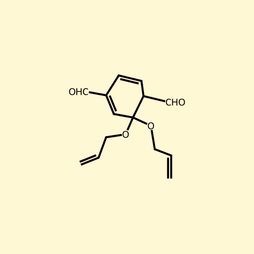 C=CCOC1(OCC=C)C=C(C=O)C=CC1C=O